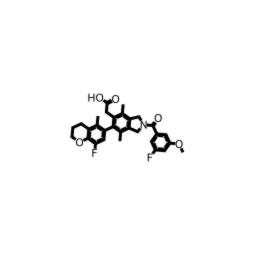 COc1cc(F)cc(C(=O)N2Cc3c(C)c(CC(=O)O)c(-c4cc(F)c5c(c4C)CCCO5)c(C)c3C2)c1